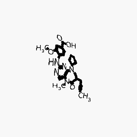 CC#CCC1CN(C2CCCC2)c2nc(Nc3ccc(C(=O)O)cc3OC)ncc2N(C)C1=O